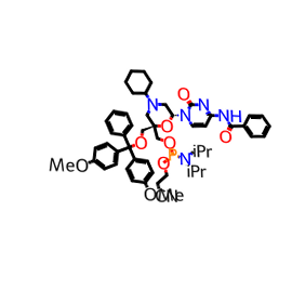 COc1ccc(C(OC[C@@]2(COP(OCCC#N)N(C(C)C)C(C)C)CN(C3CCCCC3)C[C@H](n3ccc(NC(=O)c4ccccc4)nc3=O)O2)(c2ccccc2)c2ccc(OC)cc2)cc1